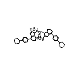 CCCCC1=Cc2c(-c3ccc(C4CCCCC4)cc3)cccc2C1C[SiH2]CC1C(CCCC)=Cc2c(-c3ccc(C4CCCCC4)cc3)cccc21